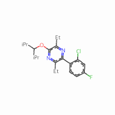 CCc1nc(-c2ccc(F)cc2Cl)c(CC)nc1OC(C(C)C)C(C)C